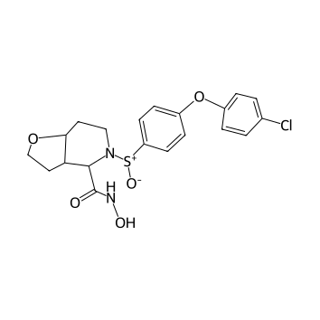 O=C(NO)C1C2CCOC2CCN1[S+]([O-])c1ccc(Oc2ccc(Cl)cc2)cc1